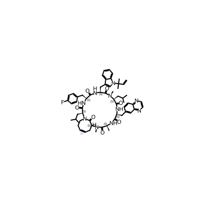 C=CC(C)(C)n1cc(C[C@@H]2NC(=O)[C@H](Cc3ccc(F)cc3)NC(=O)[C@H](CC(C)C)N3CC/C=C\C[C@@H](C3=O)N(C)C(=O)[C@H](C)NC(=O)[C@H](Cc3ccc4nccnc4c3)NC(=O)[C@H](CC(C)C)N(C)C2=O)c2ccccc21